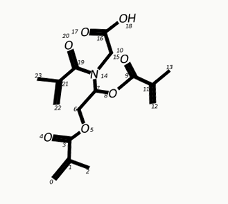 C=C(C)C(=O)OCC(OC(=O)C(=C)C)N(CC(=O)O)C(=O)C(=C)C